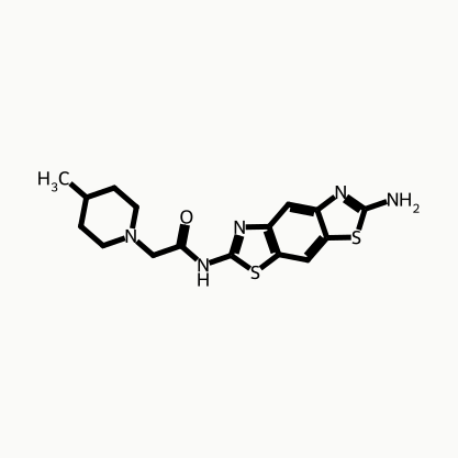 CC1CCN(CC(=O)Nc2nc3cc4nc(N)sc4cc3s2)CC1